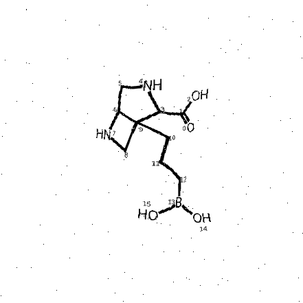 O=C(O)C1NCC2NCC21CCCB(O)O